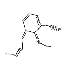 C\C=C/C=C1/C=CC=C(OC)/C1=N\C